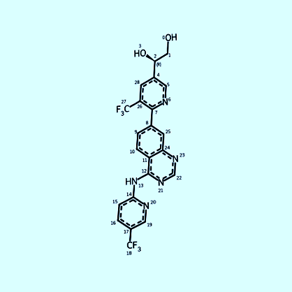 OC[C@H](O)c1cnc(-c2ccc3c(Nc4ccc(C(F)(F)F)cn4)ncnc3c2)c(C(F)(F)F)c1